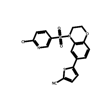 N#Cc1ccc(-c2ccc3c(c2)N(S(=O)(=O)c2ccc(Cl)nc2)CCO3)s1